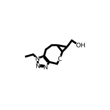 CCn1nnc2c1CCC1C(CO)C1CC2